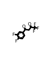 O=C(CC(=O)C(F)(F)F)c1ccc(F)c(F)c1